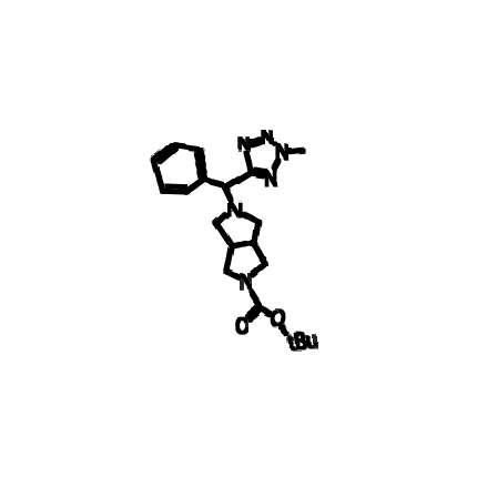 Cn1nnc(C(c2ccccc2)N2CC3CN(C(=O)OC(C)(C)C)CC3C2)n1